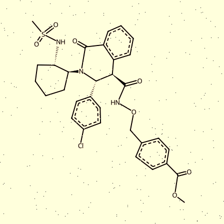 COC(=O)c1ccc(CONC(=O)[C@@H]2c3ccccc3C(=O)N([C@H]3CCCC[C@@H]3NS(C)(=O)=O)[C@H]2c2ccc(Cl)cc2)cc1